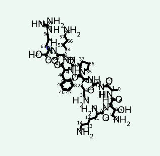 CC(NC(=O)[C@@H](NC(=O)C(N)CCCCN)[C@@H](O)CN)C(=O)NCC(=O)N[C@H](CCCN)C(=O)N1CCC[C@H]1C(=O)NC(Cc1ccccc1)C(=O)N[C@@H](CCCCN)C(=O)N/C(=C\CCNC(=N)N)C(=O)O